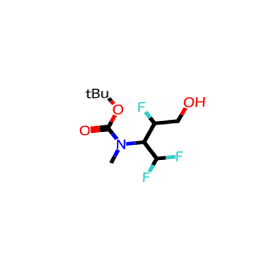 CN(C(=O)OC(C)(C)C)C(C(F)F)C(F)CO